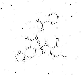 O=C(OCOC(=O)c1ccccc1)C1=CC2(CCC1S(=O)(=O)Nc1ccc(F)cc1Cl)OCCO2